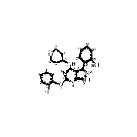 Fc1ccccc1Oc1nc(NC2CCOCC2)c2c(-c3ccccc3Cl)n[nH]c2n1